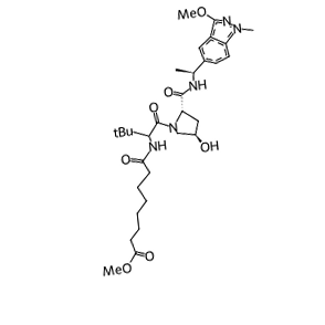 COC(=O)CCCCCCC(=O)NC(C(=O)N1C[C@H](O)C[C@H]1C(=O)N[C@@H](C)c1ccc2c(c1)c(OC)nn2C)C(C)(C)C